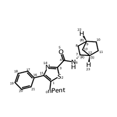 CCCCCc1sc(C(=O)N[C@@H]2C[C@@H]3CC[C@H]2C3)nc1-c1ccccc1